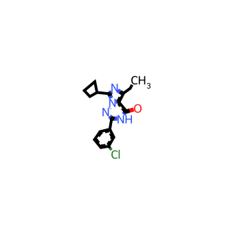 CCc1nc(C2CCC2)n2nc(-c3cccc(Cl)c3)[nH]c(=O)c12